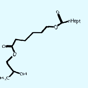 CCCCCCCC(=O)OCCCCCC(=O)OCC(C)O